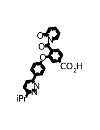 CC(C)c1ccc(-c2ccc(Oc3cc(C(=O)O)ccc3C(=O)n3ccccc3=O)cc2)nn1